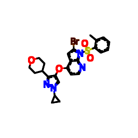 Cc1ccccc1S(=O)(=O)n1c(Br)cc2c(Oc3cn(C4CC4)nc3C3CCOCC3)ccnc21